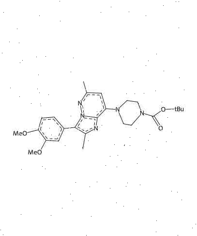 COc1ccc(-c2c(C)nc3c(N4CCN(C(=O)OC(C)(C)C)CC4)cc(C)nn23)cc1OC